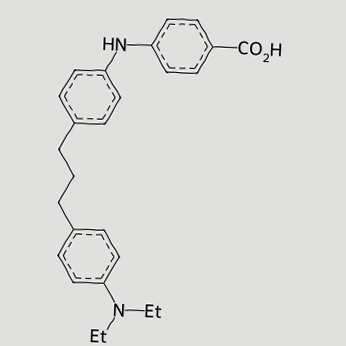 CCN(CC)c1ccc(CCCc2ccc(Nc3ccc(C(=O)O)cc3)cc2)cc1